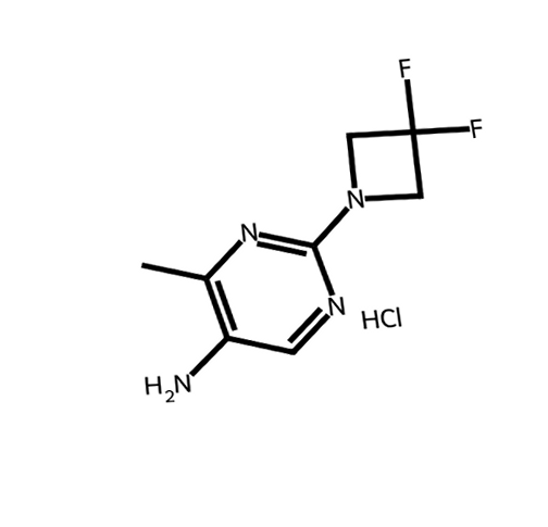 Cc1nc(N2CC(F)(F)C2)ncc1N.Cl